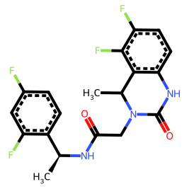 CC1c2c(ccc(F)c2F)NC(=O)N1CC(=O)N[C@@H](C)c1ccc(F)cc1F